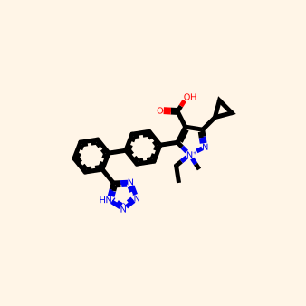 CC[N+]1(C)N=C(C2CC2)C(C(=O)O)=C1c1ccc(-c2ccccc2-c2nnn[nH]2)cc1